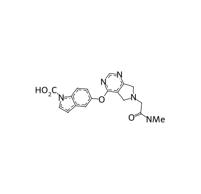 CNC(=O)CN1Cc2ncnc(Oc3ccc4c(ccn4C(=O)O)c3)c2C1